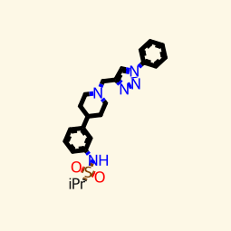 CC(C)S(=O)(=O)Nc1cccc(C2CCN(Cc3cn(-c4ccccc4)nn3)CC2)c1